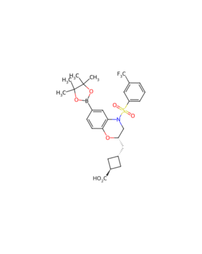 CC1(C)OB(c2ccc3c(c2)N(S(=O)(=O)c2cccc(C(F)(F)F)c2)C[C@H](C[C@H]2C[C@H](C(=O)O)C2)O3)OC1(C)C